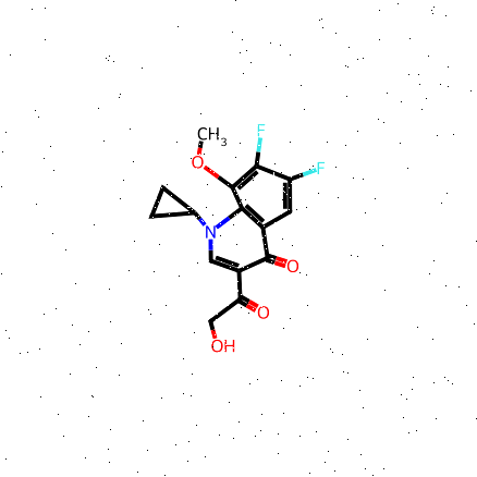 COc1c(F)c(F)cc2c(=O)c(C(=O)CO)cn(C3CC3)c12